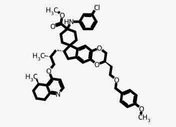 COC(=O)C1(Nc2cccc(Cl)c2)CCC2(CC1)c1cc3c(cc1C[C@@H]2C[C@@H](C)COc1ccnc2c1[C@H](C)CCC2)O[C@H](CCOCc1ccc(OC)cc1)CO3